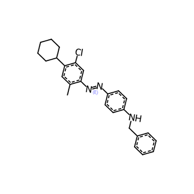 Cc1cc(C2CCCCC2)c(Cl)cc1/N=N/c1ccc(NCc2ccccc2)cc1